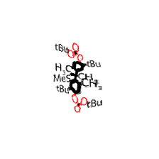 CSCC(C)(c1cc(C(C)(C)C)c(OC(=O)OC(C)(C)C)cc1C)c1cc(C(C)(C)C)c(OC(=O)OC(C)(C)C)cc1C